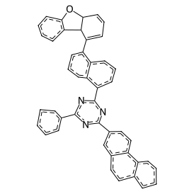 C1=CC2Oc3ccccc3C2C(c2cccc3c(-c4nc(-c5ccccc5)nc(-c5ccc6c(ccc7ccccc76)c5)n4)cccc23)=C1